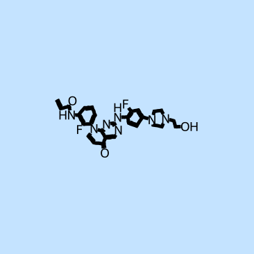 C=CC(=O)Nc1cccc(-n2ccc(=O)c3cnc(Nc4ccc(N5CCN(CCO)CC5)cc4F)nc32)c1F